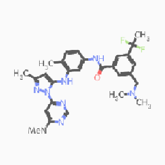 CNc1cc(-n2nc(C)cc2Nc2cc(NC(=O)c3cc(CN(C)C)cc(C(C)(F)F)c3)ccc2C)ncn1